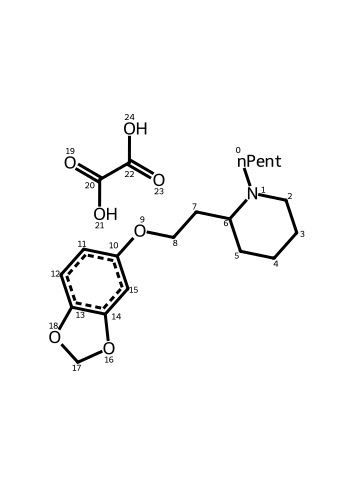 CCCCCN1CCCCC1CCOc1ccc2c(c1)OCO2.O=C(O)C(=O)O